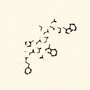 CSCC[C@H](NC(=O)[C@H](Cc1c[nH]c2ccccc12)NC(=O)[C@H](Cc1c[nH]cn1)NC(=O)[C@H](CC(N)=O)NC(=O)[C@H](CO)NC(=O)[C@H](Cc1ccccc1)NC(C)=O)C(=O)N[C@@H](CC(N)=O)C(=O)N[C@@H](Cc1c[nH]c2ccccc12)C(N)=O